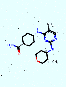 C[C@@H]1COCC[C@H]1Nc1ncc([N+](=O)[O-])c(N[C@H]2CC[C@H](C(N)=O)CC2)n1